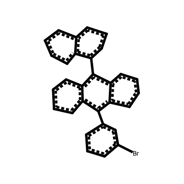 Brc1cccc(-c2c3ccccc3c(-c3cccc4ccccc34)c3ccccc23)c1